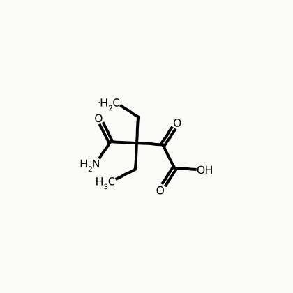 [CH2]CC(CC)(C(N)=O)C(=O)C(=O)O